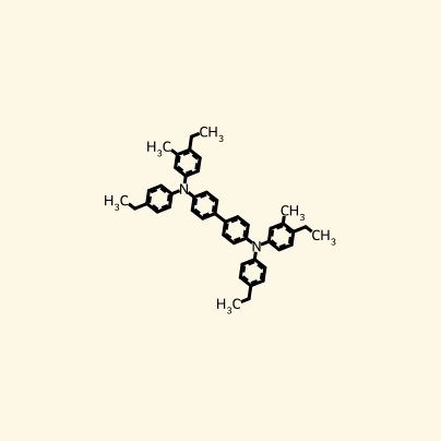 CCc1ccc(N(c2ccc(-c3ccc(N(c4ccc(CC)cc4)c4ccc(CC)c(C)c4)cc3)cc2)c2ccc(CC)c(C)c2)cc1